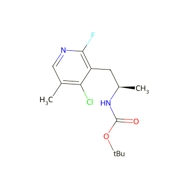 Cc1cnc(F)c(C[C@@H](C)NC(=O)OC(C)(C)C)c1Cl